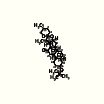 C[C@@H]1CC[C@@]2(OC1)O[C@H]1C[C@H]3[C@@H]4CC[C@H]5C[C@@H](O[Si](C)(C)C)CC[C@]5(C)[C@H]4CC(=O)[C@]3(C)[C@H]1[C@@H]2C